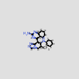 Nc1nc(-c2c(Nc3ccccc3)c(C(F)(F)F)cn3cnnc23)c2ccccc2n1